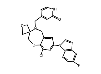 O=c1cc(CN2Cc3cc(-n4ccc5cc(F)ccc54)cc(Cl)c3OCC23COC3)cc[nH]1